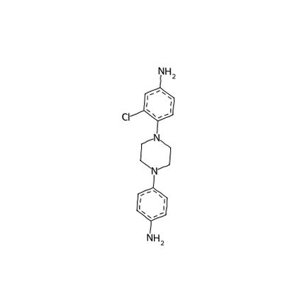 Nc1ccc(N2CCN(c3ccc(N)cc3Cl)CC2)cc1